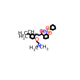 CN(C)CCOc1ccc(C(C)(C)C)cc1/C=C/C(=O)c1ccccc1NS(=O)(=O)c1ccccc1